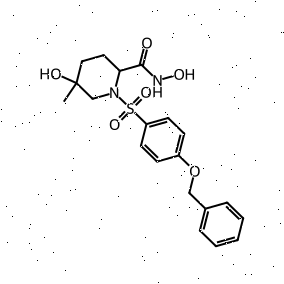 CC1(O)CCC(C(=O)NO)N(S(=O)(=O)c2ccc(OCc3ccccc3)cc2)C1